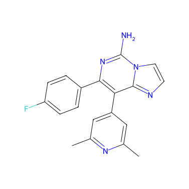 Cc1cc(-c2c(-c3ccc(F)cc3)nc(N)n3ccnc23)cc(C)n1